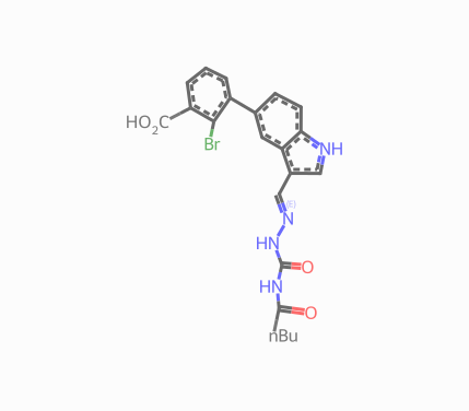 CCCCC(=O)NC(=O)N/N=C/c1c[nH]c2ccc(-c3cccc(C(=O)O)c3Br)cc12